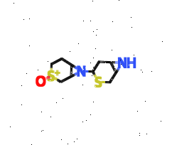 [O-][S+]1CCC2C(C1)N2C1CC2NC2CS1